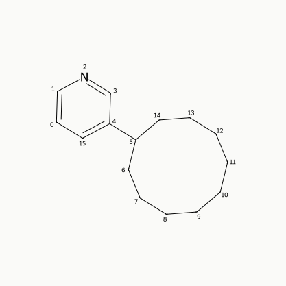 c1cncc(C2CCCCCCCCC2)c1